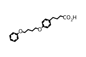 O=C(O)CCCc1ccc(OCCCCOc2ccccc2)cc1